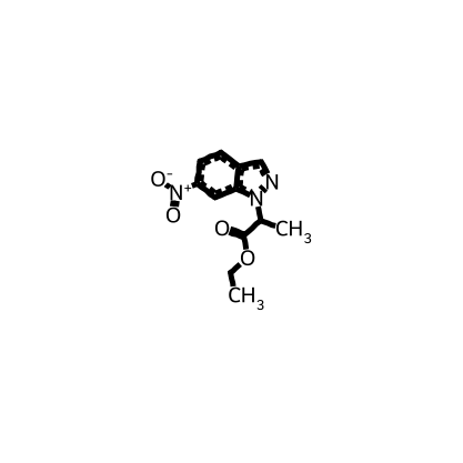 CCOC(=O)C(C)n1ncc2ccc([N+](=O)[O-])cc21